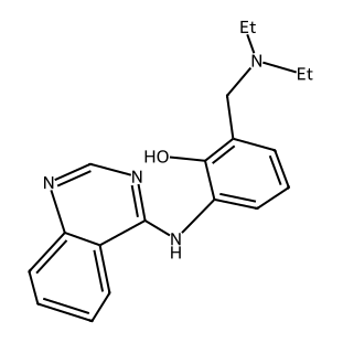 CCN(CC)Cc1cccc(Nc2ncnc3ccccc23)c1O